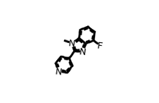 Cn1c(-c2ccncc2)nc2c(F)cccc21